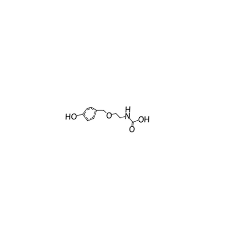 O=C(O)NCCOCc1ccc(O)cc1